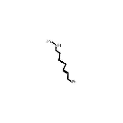 CC(C)CC=CCCCCNC(C)C